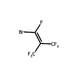 FC(Br)=C(C(F)(F)F)C(F)(F)F